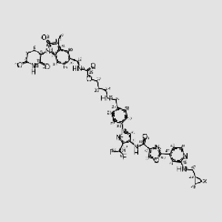 Cn1c(=O)n(C2CCC(=O)NC2=O)c2ccc(CNC(=O)OCCCNCc3ccc(-n4cc(NC(=O)c5coc(-c6ccnc(NCC7CC7)c6)n5)c(C(F)F)n4)cc3)cc21